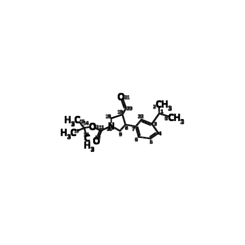 CC(C)c1cccc(C2CN(C(=O)OC(C)(C)C)CC2C=O)c1